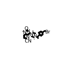 CC(c1ccc(CBr)cc1)N1C[C@H](C)N(c2nc(=O)n(C)c3ccc(C#N)nc23)C[C@H]1C